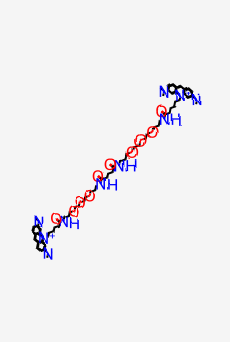 CN(C)c1ccc2cc3ccc(N(C)C)cc3[n+](CCCCCC(=O)NCCCOCCOCCOCCCNC(=O)CCCC(=O)NCCCOCCOCCOCCCNC(=O)CCCCC[n+]3c4cc(N(C)C)ccc4cc4ccc(N(C)C)cc43)c2c1